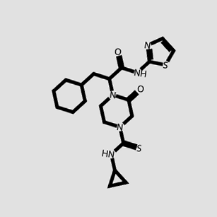 O=C(Nc1nccs1)C(CC1CCCCC1)N1CCN(C(=S)NC2CC2)CC1=O